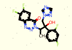 CC(n1nnc2cc(F)c(F)cc2c1=O)C(O)(Cn1cncn1)c1ccc(F)cc1F